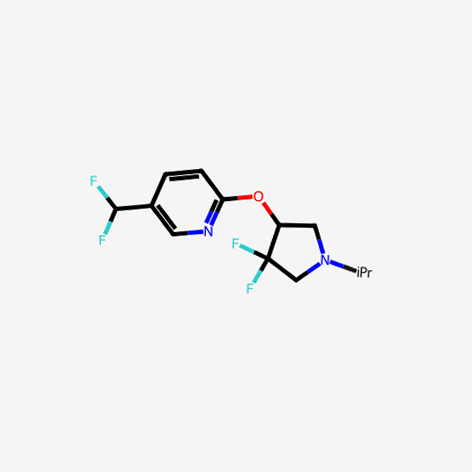 CC(C)N1CC(Oc2ccc(C(F)F)cn2)C(F)(F)C1